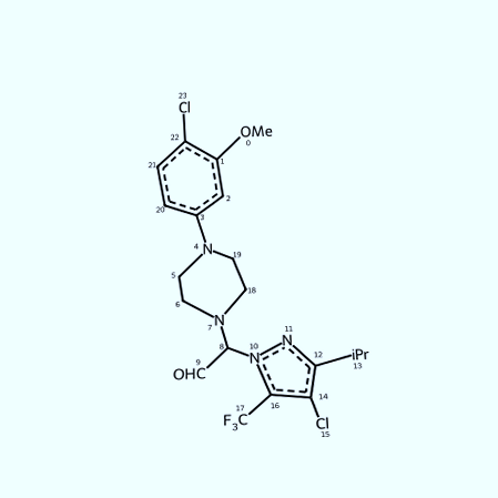 COc1cc(N2CCN(C(C=O)n3nc(C(C)C)c(Cl)c3C(F)(F)F)CC2)ccc1Cl